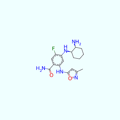 Cc1cc(Nc2cc(N[C@@H]3CCCC[C@@H]3N)c(F)cc2C(N)=O)on1